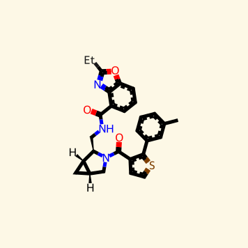 CCc1nc2c(C(=O)NC[C@@H]3[C@H]4C[C@H]4CN3C(=O)c3ccsc3-c3cccc(C)c3)cccc2o1